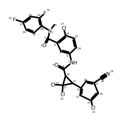 CN(C(=O)c1cc(NC(=O)C2C(c3cc(Cl)cc(C#N)c3)C2(Cl)Cl)ccc1Cl)c1ccc(F)cc1F